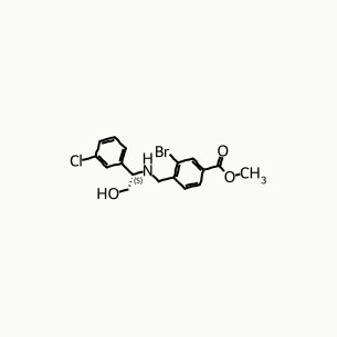 COC(=O)c1ccc(CN[C@H](CO)c2cccc(Cl)c2)c(Br)c1